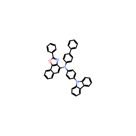 c1ccc(-c2ccc(N(c3ccc(-n4c5ccccc5c5ccccc54)cc3)c3cc4ccccc4c4oc(-c5ccccc5)nc34)cc2)cc1